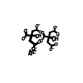 O=C([O-])CC(O)(CC(=O)[O-])C(=O)[O-].O=C([O-])CC(O)(CC(=O)[O-])C(=O)[O-].[Al+3].[Al+3]